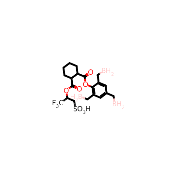 BCc1cc(CB)c(OC(=O)C2CCCCC2C(=O)OC(CS(=O)(=O)O)C(F)(F)F)c(CB)c1